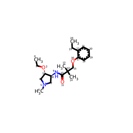 CCO[C@H]1CN(C)C[C@@H]1NC(=O)C(C)(C)COc1ccccc1CC